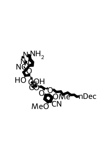 CCCCCCCCCCCCCCCCCCOC[C@H](COP(=O)(O)OC[C@H]1O[C@@](C#N)(c2ccc3c(N)ncnn23)C[C@@H]1O)Oc1cc(OC)c(C#N)c(OC)c1